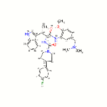 COc1ccc(CN(C)C)cc1NC(=O)[C@H](NC(=O)N1CCC(c2ccc(F)cc2)CC1)[C@@H](C)c1c[nH]c2ccccc12